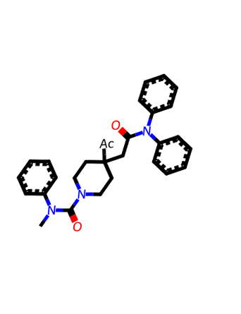 CC(=O)C1(CC(=O)N(c2ccccc2)c2ccccc2)CCN(C(=O)N(C)c2ccccc2)CC1